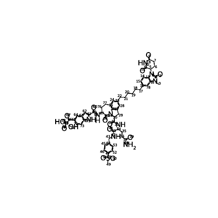 Cn1c(=O)n(C2CCC(=O)NC2=O)c2ccc(CCCCCCc3cc4c5c(c3)C[C@@H](C(=O)N[C@@H](CCC(N)=O)C(=O)NCc3ccc(S(C)(=O)=O)cc3)N5C(=O)[C@@H](NC(=O)c3cc5cc(C(=O)P(=O)(O)O)ccc5[nH]3)CC4)cc21